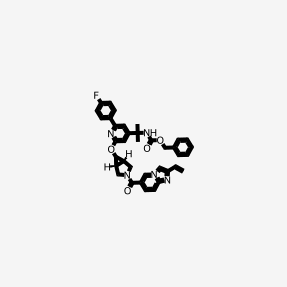 C=Cc1cn2cc(C(=O)N3C[C@@H]4C(Oc5cc(C(C)(C)NC(=O)OCc6ccccc6)cc(-c6ccc(F)cc6)n5)[C@@H]4C3)ccc2n1